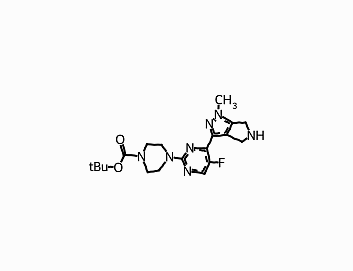 Cn1nc(-c2nc(N3CCN(C(=O)OC(C)(C)C)CC3)ncc2F)c2c1CNC2